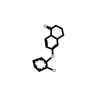 O=C1CCCC2C=C(Oc3ccccc3Cl)C=CC12